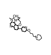 CN1c2cnc3ccc(-c4ccc(OCCCN5CCCCC5)nc4)c4c3c2N(C1O)C1(CC1)CO4